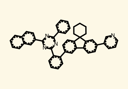 c1ccc(-c2nc(-c3ccc4ccccc4c3)nc(-c3ccccc3-c3ccc4c(c3)-c3ccc(-c5cccnc5)cc3C43CCCCC3)n2)cc1